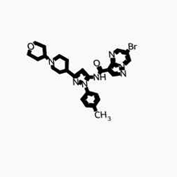 Cc1ccc(-n2nc(C3CCN(C4CCOCC4)CC3)cc2NC(=O)c2cnn3cc(Br)cnc23)cc1